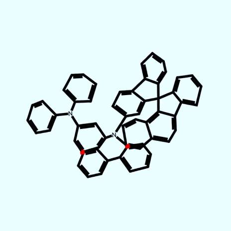 c1ccc(-c2ccccc2N(c2cccc(N(c3ccccc3)c3ccccc3)c2)c2ccc3c(c2)C2(c4ccccc4-3)c3ccccc3-c3ccc4ccccc4c32)cc1